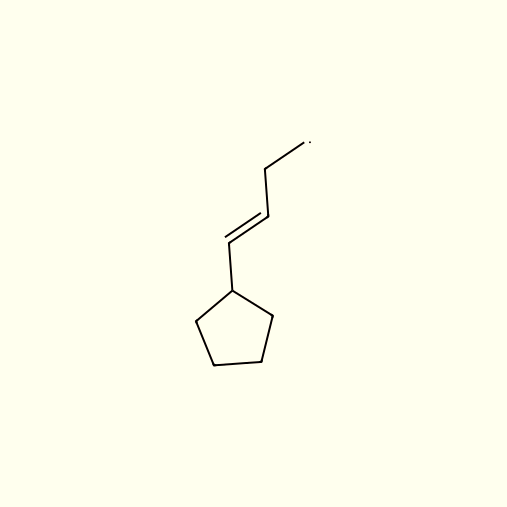 [CH2]CC=CC1CCCC1